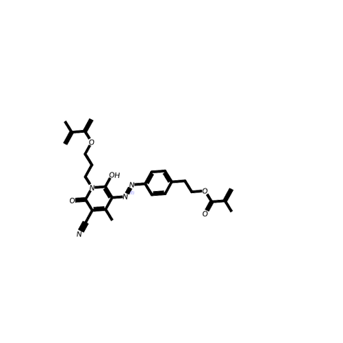 C=C(C)C(=C)OCCCn1c(O)c(/N=N/c2ccc(CCOC(=O)C(=C)C)cc2)c(C)c(C#N)c1=O